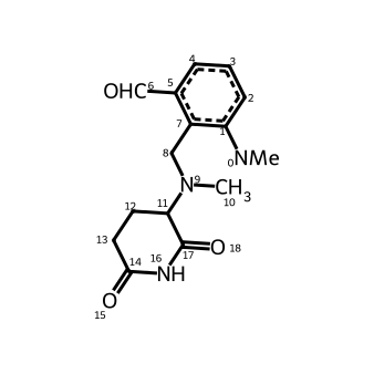 CNc1cccc(C=O)c1CN(C)C1CCC(=O)NC1=O